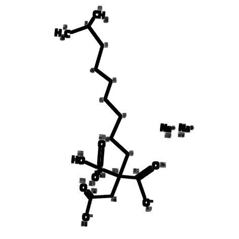 CC(C)CCCCCCCC(CC(=O)[O-])(C(=O)[O-])S(=O)(=O)O.[Na+].[Na+]